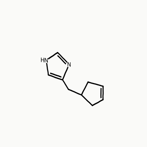 C1=CCC(Cc2c[nH]cn2)C1